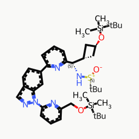 CC(C)(C)[S@@+]([O-])N[C@H](c1cccc(-c2ccc3cnn(-c4cccc(CO[Si](C)(C)C(C)(C)C)n4)c3c2)n1)[C@H]1C[C@H](O[Si](C)(C)C(C)(C)C)C1